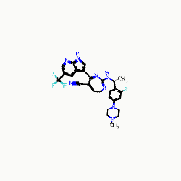 C[C@@H](NC1=NCC=C(C#N)C(c2c[nH]c3ncc(C(F)(F)F)cc23)=N1)c1ccc(N2CCN(C)CC2)cc1F